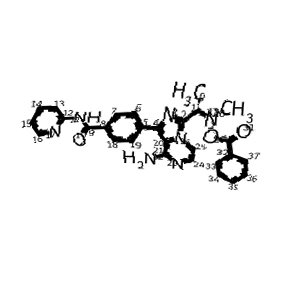 C[C@@H](c1nc(-c2ccc(C(=O)Nc3ccccn3)cc2)c2c(N)nccn12)N(C)OC(=O)c1ccccc1